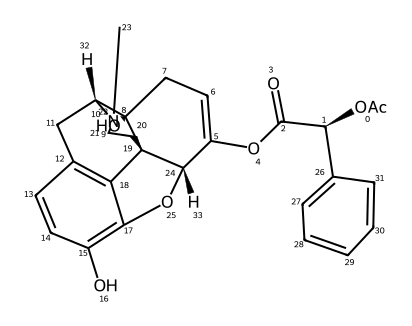 CC(=O)O[C@H](C(=O)OC1=CC[C@@]2(O)[C@H]3Cc4ccc(O)c5c4[C@@]2(CCN3C)[C@H]1O5)c1ccccc1